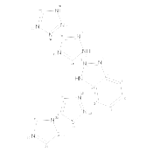 c1ccc2[nH]nnc2c1.c1csnn1.c1nc[nH]n1.c1ncsn1.c1nnn[nH]1